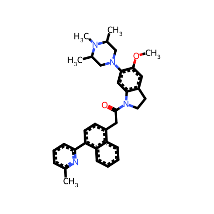 COc1cc2c(cc1N1CC(C)N(C)C(C)C1)N(C(=O)Cc1ccc(-c3cccc(C)n3)c3ccccc13)CC2